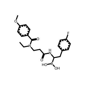 CCN(CCC(=O)NC(Cc1ccc(F)cc1)B(O)O)C(=O)c1ccc(OC)cc1